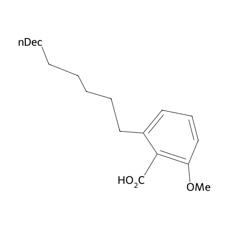 CCCCCCCCCCCCCCCc1cccc(OC)c1C(=O)O